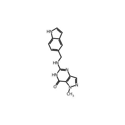 Cn1ncc2nc(NCc3ccc4[nH]ccc4c3)[nH]c(=O)c21